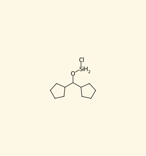 Cl[SiH2]OC(C1CCCC1)C1CCCC1